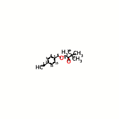 C#Cc1ccc(COCC(=O)C(C)(C)C)cc1